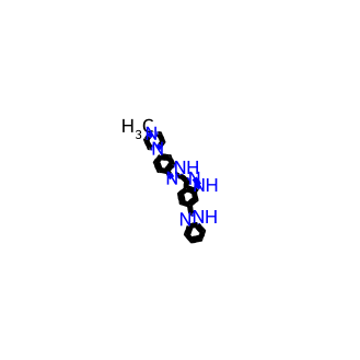 CN1CCN(c2ccc3nc(-c4n[nH]c5cc(-c6nc7ccccc7[nH]6)ccc45)[nH]c3c2)CC1